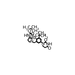 CC(C)(C)OC(=O)NC1CCN(Cc2cc(N3CCC(=O)NC3=O)cc(C(C)(C)C)c2O)C1